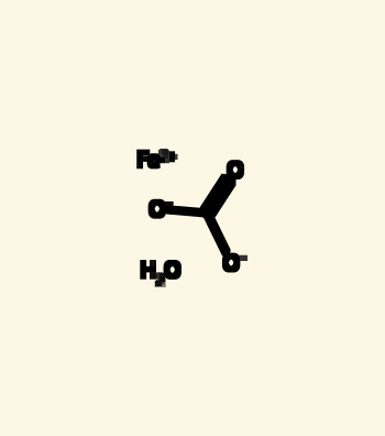 O.O=C([O-])[O-].[Fe+2]